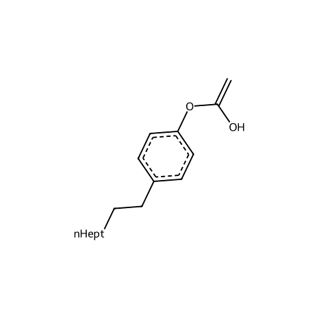 C=C(O)Oc1ccc(CCCCCCCCC)cc1